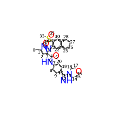 Cc1cc(C(=O)Nc2ccc(C(=N)N3CCOCC3)cc2)n(-c2cc3ccccc3cc2S(C)(=O)=O)n1